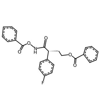 O=C(OCC[C@@H](C(=O)NOC(=O)c1ccccc1)c1ccc(F)cc1)c1ccccc1